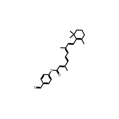 CC(C=CC1=C(C)CCCC1(C)C)=CC=CC(C)=CC(=O)Oc1ccc(C=O)cc1